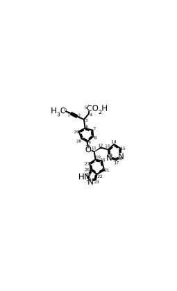 CC#CC(CC(=O)O)c1ccc(O[C@@H](Cc2ccncn2)c2ccc3cn[nH]c3c2)cc1